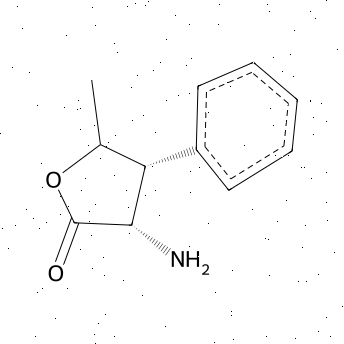 CC1OC(=O)[C@@H](N)[C@H]1c1ccccc1